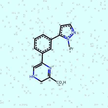 CC(C)n1nccc1-c1cccc(C2=CNCC(C(=O)O)=N2)c1